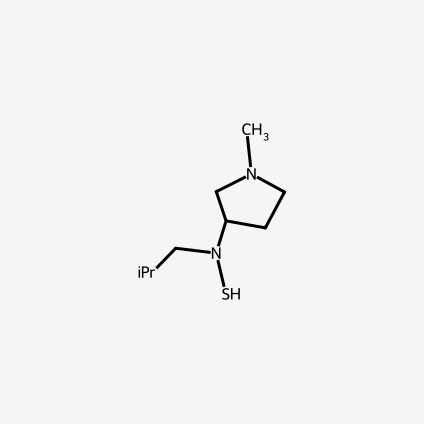 CC(C)CN(S)C1CCN(C)C1